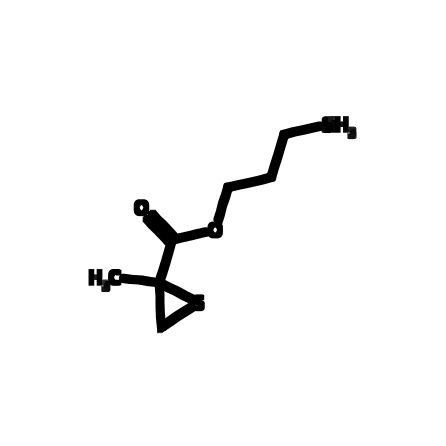 CC1(C(=O)OCCC[SiH3])CS1